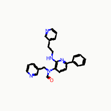 O=CN(Cc1cccnc1)c1ccc(-c2ccccc2)nc1NCCc1cccnc1